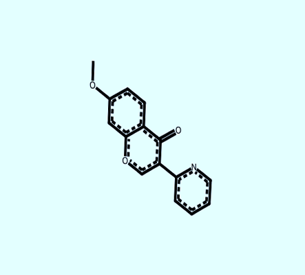 COc1ccc2c(=O)c(-c3ccccn3)coc2c1